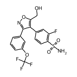 NS(=O)(=O)c1ccc(-c2c(-c3cccc(OC(F)(F)F)c3)noc2CO)cc1F